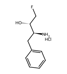 Cl.N[C@@H](Cc1ccccc1)[C@H](O)CF